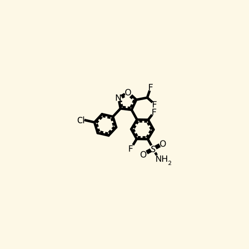 NS(=O)(=O)c1cc(F)c(-c2c(-c3cccc(Cl)c3)noc2C(F)F)cc1F